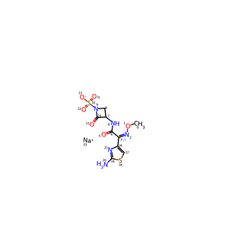 CO/N=C(\C(=O)NC1CN(S(=O)(=O)[O-])C1=O)c1csc(N)n1.[Na+]